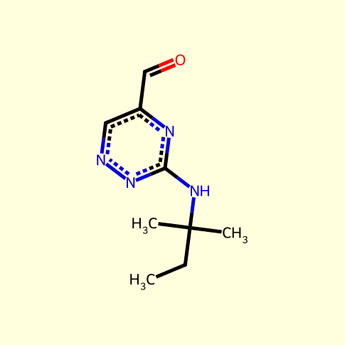 CCC(C)(C)Nc1nncc(C=O)n1